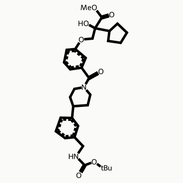 COC(=O)C(O)(COc1cccc(C(=O)N2CCC(c3cccc(CNC(=O)OC(C)(C)C)c3)CC2)c1)C1CCCC1